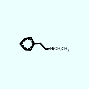 CN(O)CCc1ccccc1